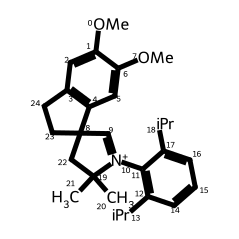 COc1cc2c(cc1OC)C1(C=[N+](c3c(C(C)C)cccc3C(C)C)C(C)(C)C1)CC2